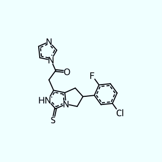 O=C(Cc1[nH]c(=S)n2c1CC(c1cc(Cl)ccc1F)C2)n1ccnc1